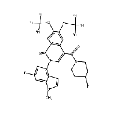 [2H]C([2H])([2H])Oc1cc2c(C(=O)N3CCC(F)CC3)cn(-c3cc(F)cc4c3ccn4C)c(=O)c2cc1OC([2H])([2H])[2H]